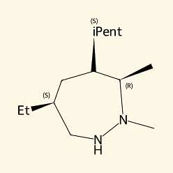 CCC[C@H](C)C1C[C@H](CC)CNN(C)[C@@H]1C